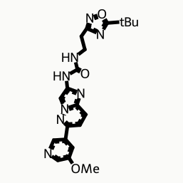 COc1cncc(-c2ccc3nc(NC(=O)NCCc4noc(C(C)(C)C)n4)cn3n2)c1